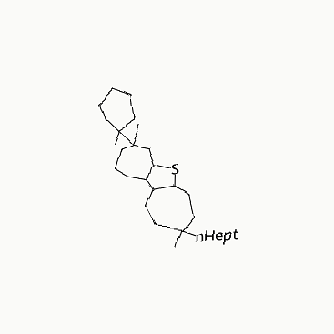 CCCCCCCC1(C)CCC2SC3CC(C)(C4(C)CCCCC4)CCCC3C2CC1